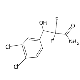 NC(=O)C(F)(F)C(O)c1ccc(Cl)c(Cl)c1